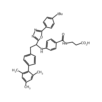 Cc1cc(C)c(-c2ccc(CC(Nc3ccc(C(=O)NCCC(=O)O)cc3)c3nnc(-c4ccc(C(C)(C)C)cc4)o3)cc2)c(C)c1